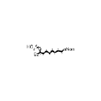 CCCCCCCCCCCCCCCCC(CC)OS(=O)(=O)O